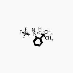 CC(C)(C)c1ccccc1[N+]#N.F[B-](F)(F)F